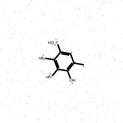 CCCCc1c(C(=O)O)cc(C)c(O)c1CCC